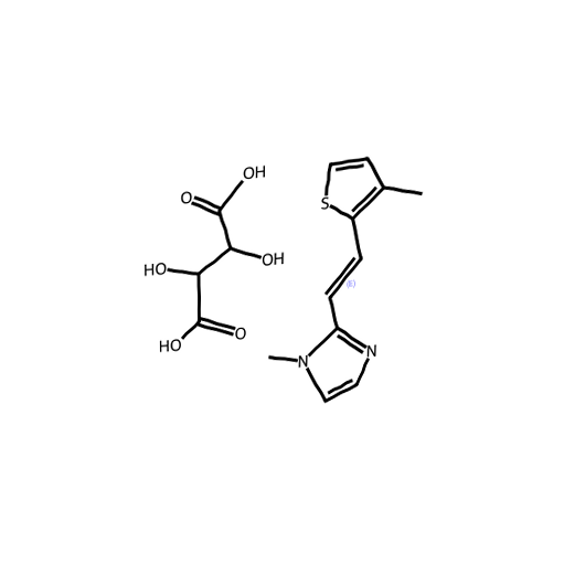 Cc1ccsc1/C=C/c1nccn1C.O=C(O)C(O)C(O)C(=O)O